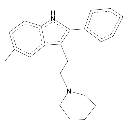 Cc1ccc2[nH]c(-c3ccccc3)c(CCN3CCCCC3)c2c1